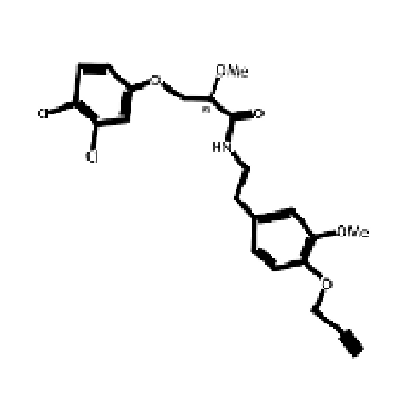 C#CCOc1ccc(CCNC(=O)[C@@H](COc2ccc(Cl)c(Cl)c2)OC)cc1OC